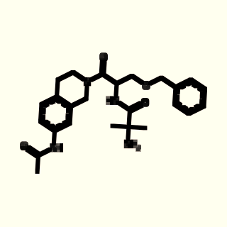 CC(=O)Nc1ccc2c(c1)CN(C(=O)C(COCc1ccccc1)NC(=O)C(C)(C)N)CC2